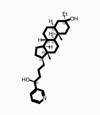 CC[C@]1(O)CC[C@@]2(C)[C@@H](CC[C@@H]3[C@@H]2CC[C@]2(C)[C@@H](CCC[C@H](O)c4cccnc4)CC[C@@H]32)C1